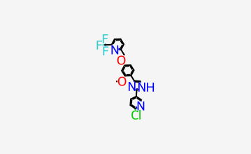 COc1cc(OCc2cccc(C(F)(F)F)n2)ccc1-c1c[nH]c(-c2ccc(Cl)nc2)n1